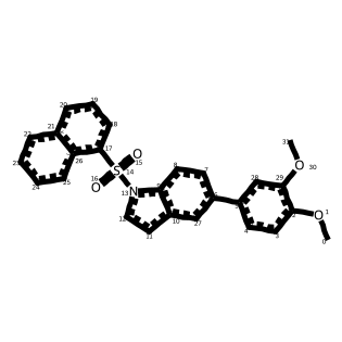 COc1ccc(-c2ccc3c(ccn3S(=O)(=O)c3cccc4ccccc34)c2)cc1OC